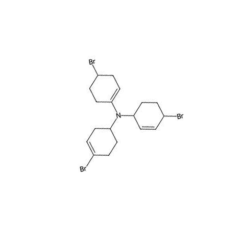 BrC1=CCC(N(C2=CCC(Br)CC2)C2C=CC(Br)CC2)CC1